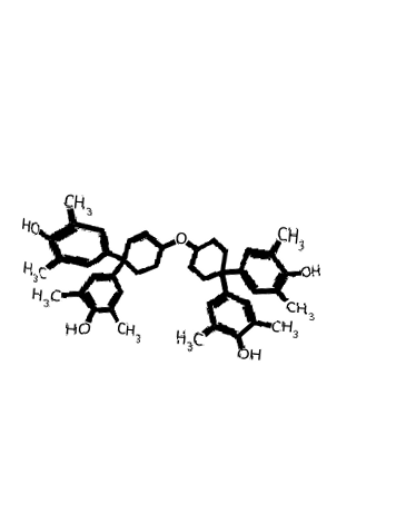 Cc1cc(C2(c3cc(C)c(O)c(C)c3)CCC(OC3CCC(c4cc(C)c(O)c(C)c4)(c4cc(C)c(O)c(C)c4)CC3)CC2)cc(C)c1O